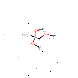 CCOC(=O)[Si](COC(C)C)(OCC)OCC